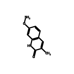 Cc1cc2ccc(ON)cc2[nH]c1=O